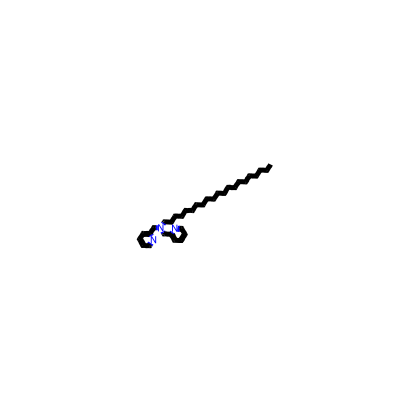 CCCCCCCCCCCCCCCCCCCCCN(Cc1ccccn1)Cc1ccccn1